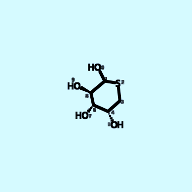 OC1SC[C@H](O)[C@H](O)[C@H]1O